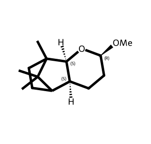 CO[C@H]1CC[C@H]2C3CCC(C)([C@H]2O1)C3(C)C